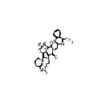 CCn1c(N2CCC[C@@H](N)C2)c(OC)c2c1c(=O)n(Cc1nc(C)c3ccccc3n1)c(=O)n2C